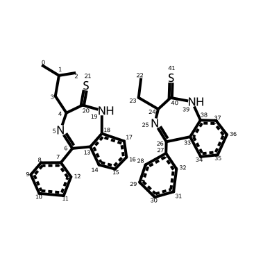 CC(C)CC1N=C(c2ccccc2)c2ccccc2NC1=S.CCC1N=C(c2ccccc2)c2ccccc2NC1=S